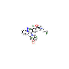 C[C@@H]1Cc2c([nH]c3ccccc23)[C@@H](c2ccc(C(O)C3CN(CCCF)C3)c(F)c2F)N1CC(F)(F)CO